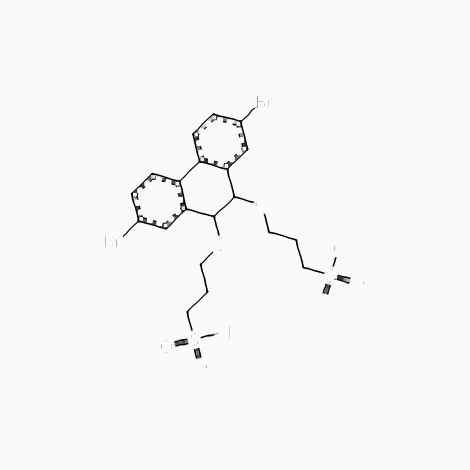 O=S(=O)(Cl)CCCOC1c2cc(Br)ccc2-c2ccc(Br)cc2C1OCCCS(=O)(=O)Cl